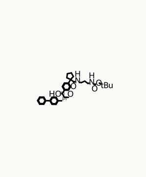 CC(C)(C)OC(=O)NCCCNC(=O)C1(c2ccc3c(c2)OC[C@H](Cc2ccc(-c4ccccc4)cc2)[C@H]3O)CCCC1